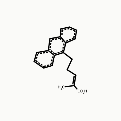 C/C(=C\CCc1c2ccccc2cc2ccccc12)C(=O)O